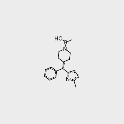 CB(O)N1CCC(=C(c2ccccc2)c2csc(C)n2)CC1